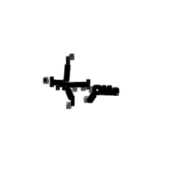 COC.[I][Pb]([I])([I])[I]